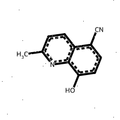 Cc1ccc2c(C#N)ccc(O)c2n1